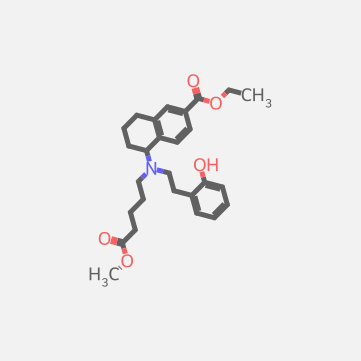 CCOC(=O)c1ccc2c(c1)CCCC2N(CCCCC(=O)OC)CCc1ccccc1O